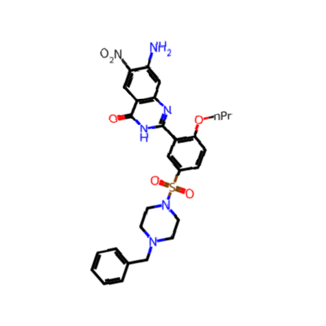 CCCOc1ccc(S(=O)(=O)N2CCN(Cc3ccccc3)CC2)cc1-c1nc2cc(N)c([N+](=O)[O-])cc2c(=O)[nH]1